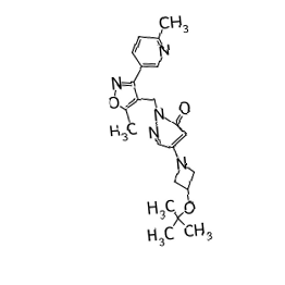 Cc1ccc(-c2noc(C)c2Cn2ncc(N3CC(OC(C)(C)C)C3)cc2=O)cn1